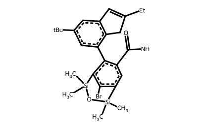 CCC1=Cc2cc(C(C)(C)C)cc(-c3c(C([NH])=O)cc4c(Br)c3[Si](C)(C)O[Si]4(C)C)c2C1